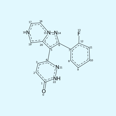 O=c1ccc(-c2c(-c3ccccc3F)nn3ccncc23)n[nH]1